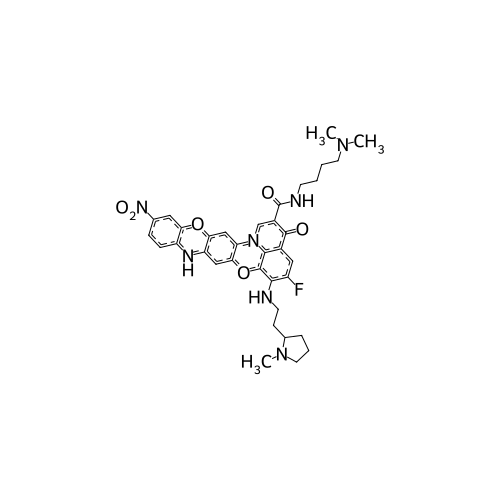 CN(C)CCCCNC(=O)c1cn2c3cc4oc5cc([N+](=O)[O-])ccc5[nH]c4cc3oc3c(NCCC4CCCN4C)c(F)cc(c1=O)c32